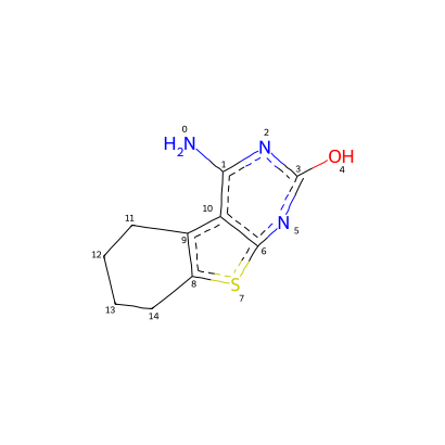 Nc1nc(O)nc2sc3c(c12)CCCC3